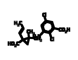 CC=CC1(C(=O)O)CC1(C)C.Nc1cc(Cl)cc(C(=O)O)c1Cl